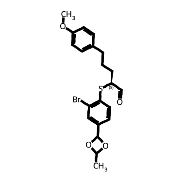 COc1ccc(CCC[C@@H](C=O)Sc2ccc(C3OC(C)O3)cc2Br)cc1